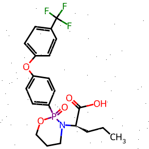 CCC[C@H](C(=O)O)N1CCCOP1(=O)c1ccc(Oc2ccc(C(F)(F)F)cc2)cc1